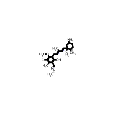 CO/N=C/c1c(C)c(Cl)c(OC)c(C/C=C(C)/C=C/C2(C)CC(N)CC[C@H]2C)c1O